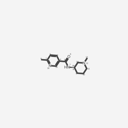 Cc1ccc(C(=O)N[C@@H]2CCCN(C)C2)cn1